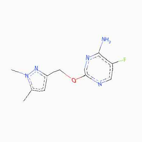 Cc1cc(COc2ncc(F)c(N)n2)nn1C